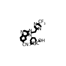 C[C@@H]1C[C@H](n2c(Cc3cnc(C(F)(F)F)cn3)nc3cnc4ccc(C#N)cc4c32)CCO1.O=CO